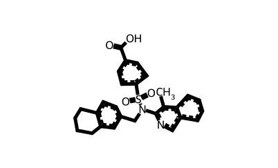 Cc1c(N(Cc2ccc3c(c2)CCCC3)S(=O)(=O)c2ccc(C(=O)O)cc2)ncc2ccccc12